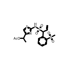 C=CC(c1ccccc1S(C)(=O)=O)S(=O)(=O)Nc1nc(C(C)OC(C)=O)cs1